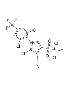 N#Cc1c(S(=O)(=O)C(F)(Cl)Cl)cn(-c2c(Cl)cc(C(F)(F)F)cc2Cl)c1Cl